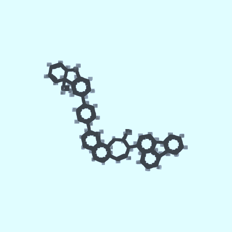 CCC1Cc2c(ccc3ccc(-c4ccc(-c5ccc6c(c5)C5(C)C=CC=CC5O6)cc4)nc23)C=CC1c1ccc2c3c(cccc13)-c1ccccc1-2